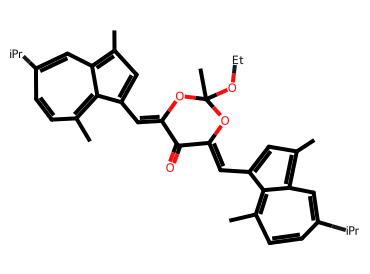 CCOC1(C)O/C(=C\c2cc(C)c3cc(C(C)C)ccc(C)c2-3)C(=O)/C(=C/c2cc(C)c3cc(C(C)C)ccc(C)c2-3)O1